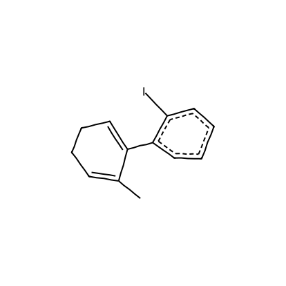 CC1=CCCC=C1c1ccccc1I